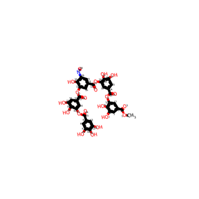 COC(=O)c1cc(O)c(O)c(OC(=O)c2cc(O)c(O)c(OC(=O)c3cc(N=O)c(O)c(OC(=O)c4cc(O)c(O)c(OC(=O)c5cc(O)c(O)c(O)c5)c4)c3)c2)c1